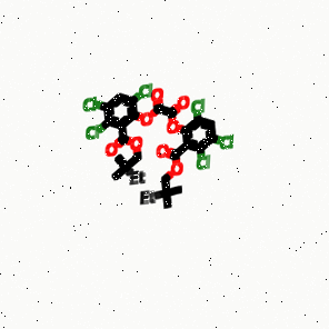 CCC(C)(C)COC(=O)c1c(Cl)c(Cl)cc(Cl)c1OC(=O)C(=O)Oc1c(Cl)cc(Cl)c(Cl)c1C(=O)OCC(C)(C)CC